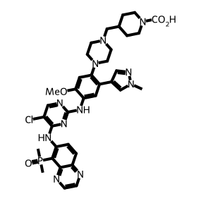 COc1cc(N2CCN(CC3CCN(C(=O)O)CC3)CC2)c(-c2cnn(C)c2)cc1Nc1ncc(Cl)c(Nc2ccc3nccnc3c2P(C)(C)=O)n1